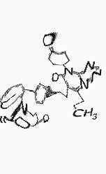 CCCc1c(Cc2ccc(-c3ccccc3N3CC(=O)ON3)cc2)c(=O)n(C2CCC(=O)CC2)c2ncnn12